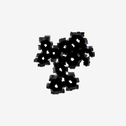 C=CC1=C(/C=C\C)C2(c3cc(N(c4cccc(-c5ccccc5-c5ccccc5)c4)c4ccc5c6ccccc6c6ccccc6c5c4)ccc31)c1ccccc1-c1ccccc12